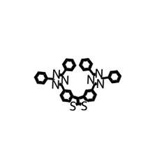 c1ccc(-c2nc(-c3ccccc3)nc(-c3ccc4sc5sc6ccc(-c7nc(-c8ccccc8)nc(-c8ccccc8)n7)cc6c5c4c3)n2)cc1